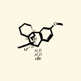 Br.COc1ccc2c(c1)[C@]13CCCC[C@@H]1[C@H](C2)N(C)CC3.O.O